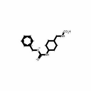 O=C(O)NCC1CCC(NC(=O)OCc2ccccc2)CC1